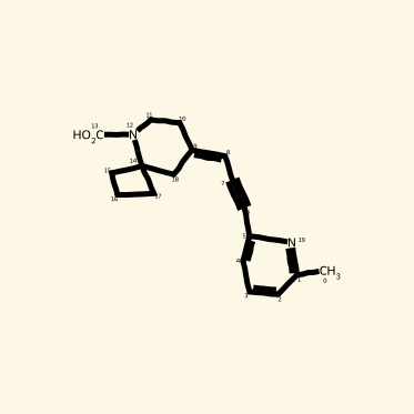 Cc1cccc(C#CC=C2CCN(C(=O)O)C3(CCC3)C2)n1